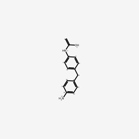 C=C(O)Nc1ccc(Cc2ccc(N)cc2)cc1